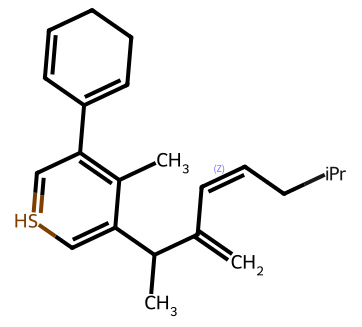 C=C(/C=C\CC(C)C)C(C)C1=C[SH]=CC(C2=CCCC=C2)=C1C